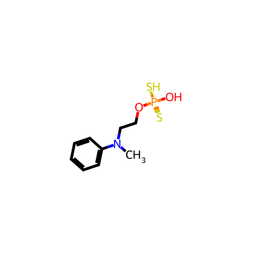 CN(CCOP(O)(=S)S)c1ccccc1